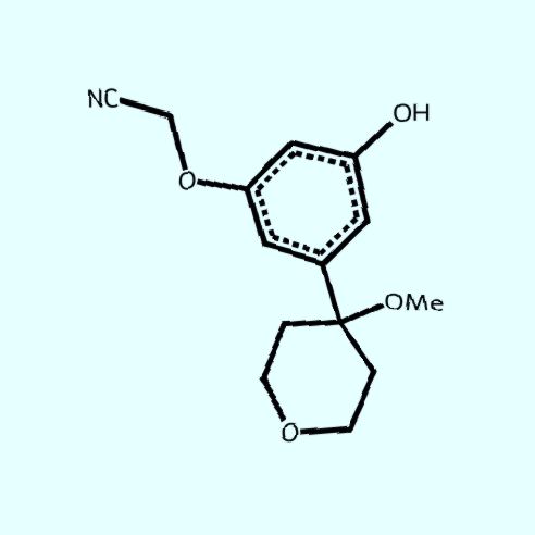 COC1(c2cc(O)cc(OCC#N)c2)CCOCC1